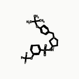 CC(C)(C)Oc1ccc(CN2CC[C@@H](NS(=O)(=O)c3cccc(OC(F)(F)F)c3)C2)cc1